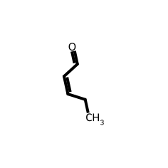 CC/C=C\C=O